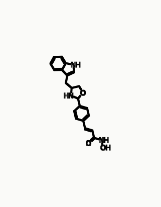 O=C(/C=C/c1ccc(C2NC(Cc3c[nH]c4ccccc34)CO2)cc1)NO